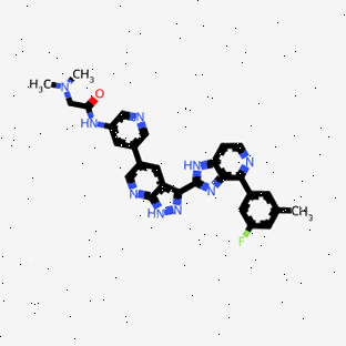 Cc1cc(F)cc(-c2nccc3[nH]c(-c4n[nH]c5ncc(-c6cncc(NC(=O)CN(C)C)c6)cc45)nc23)c1